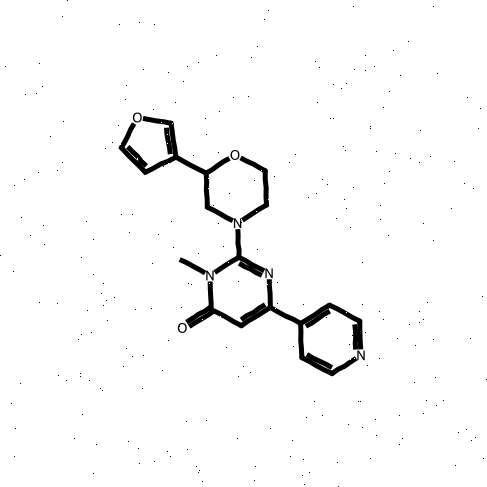 Cn1c(N2CCOC(c3ccoc3)C2)nc(-c2ccncc2)cc1=O